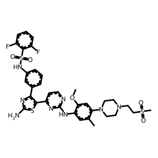 COc1cc(N2CCN(CCS(C)(=O)=O)CC2)c(C)cc1Nc1nccc(-c2sc(N)nc2-c2cccc(NS(=O)(=O)c3c(F)cccc3F)c2)n1